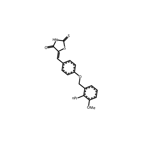 CCCc1c(COc2ccc(/C=C3\SC(=S)NC3=O)cc2)cccc1OC